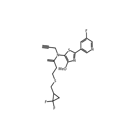 C#CCN(C(=C)CCSCC1CC1(F)F)c1sc(-c2cncc(F)c2)nc1OC